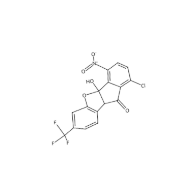 O=C1c2c(Cl)ccc([N+](=O)[O-])c2C2(O)Oc3cc(C(F)(F)F)ccc3C12